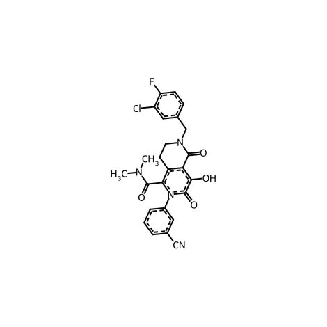 CN(C)C(=O)c1c2c(c(O)c(=O)n1-c1cccc(C#N)c1)C(=O)N(Cc1ccc(F)c(Cl)c1)CC2